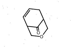 O=C1C2C=CCC1COC2